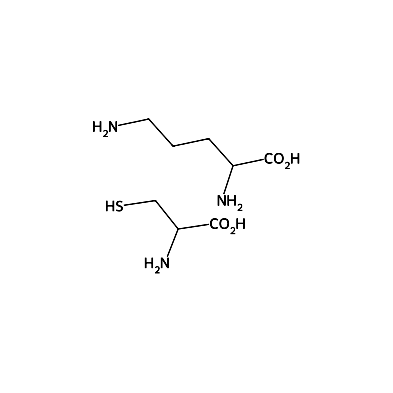 NC(CS)C(=O)O.NCCCC(N)C(=O)O